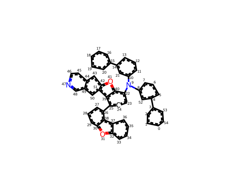 c1ccc(-c2cccc(N(c3cccc(-c4ccccc4)c3)c3ccc(-c4cccc5oc6ccccc6c45)c4c3oc3cc5ccncc5cc34)c2)cc1